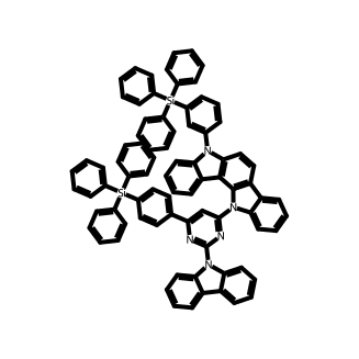 c1ccc([Si](c2ccccc2)(c2ccccc2)c2ccc(-c3cc(-n4c5ccccc5c5ccc6c(c7ccccc7n6-c6cccc([Si](c7ccccc7)(c7ccccc7)c7ccccc7)c6)c54)nc(-n4c5ccccc5c5ccccc54)n3)cc2)cc1